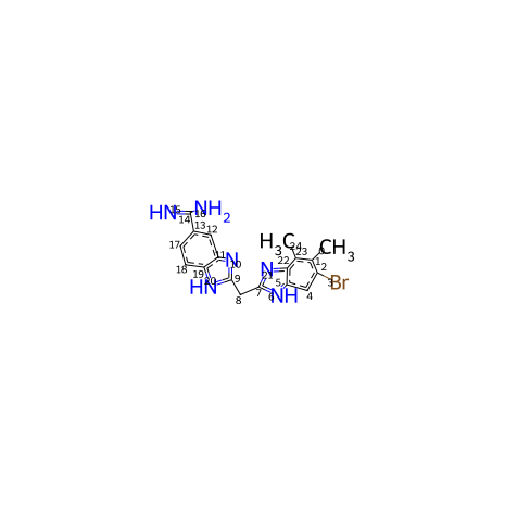 Cc1c(Br)cc2[nH]c(Cc3nc4cc(C(=N)N)ccc4[nH]3)nc2c1C